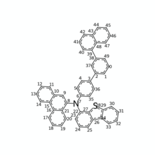 c1cc(-c2ccc(N(c3cc4ccccc4c4ccccc34)c3cccc4c3sc3ccccc34)cc2)cc(-c2cccc3ccccc23)c1